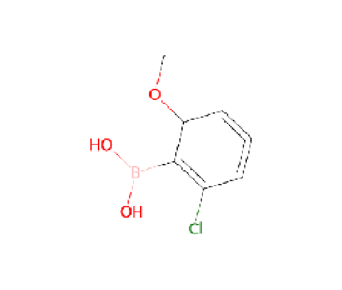 COC1C=C=CC(Cl)=C1B(O)O